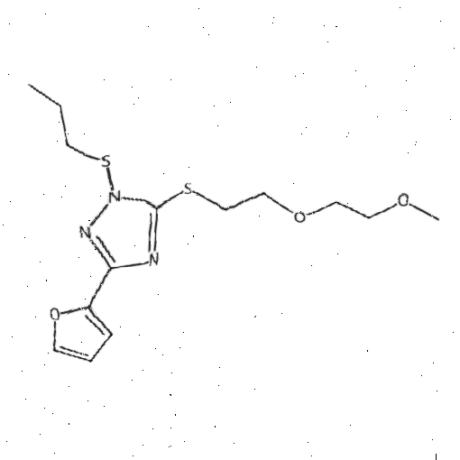 CCCSn1nc(-c2ccco2)nc1SCCOCCOC